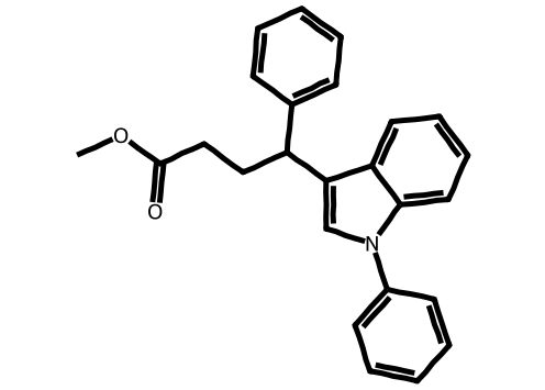 COC(=O)CCC(c1ccccc1)c1cn(-c2ccccc2)c2ccccc12